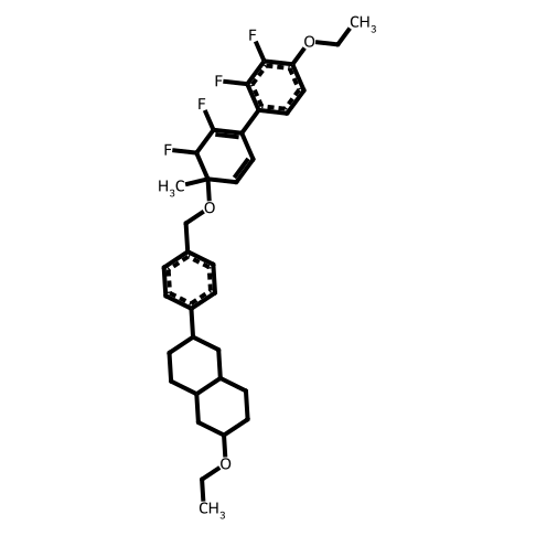 CCOc1ccc(C2=C(F)C(F)C(C)(OCc3ccc(C4CCC5CC(OCC)CCC5C4)cc3)C=C2)c(F)c1F